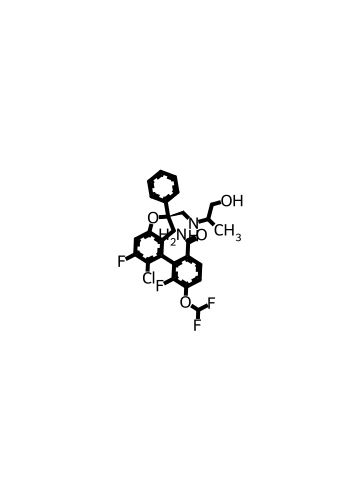 CC(CO)NC[C@@]1(c2ccccc2)Cc2c(cc(F)c(Cl)c2-c2c(C(N)=O)ccc(OC(F)F)c2F)O1